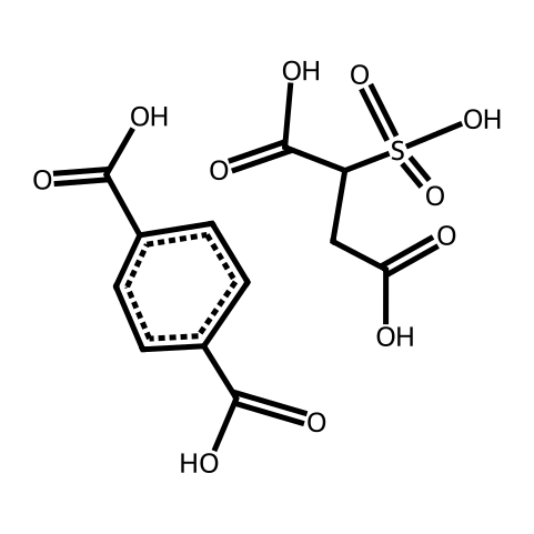 O=C(O)CC(C(=O)O)S(=O)(=O)O.O=C(O)c1ccc(C(=O)O)cc1